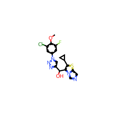 COc1c(F)cc(-n2cc(C(O)c3c(C4CC4)sc4cncn34)nn2)cc1Cl